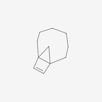 C1=CC23CCCCCCC12C3